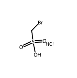 Cl.O=S(=O)(O)CBr